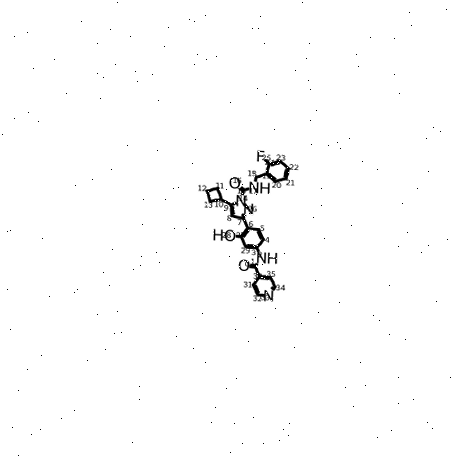 O=C(Nc1ccc(-c2cc(C3CCC3)n(C(=O)NCc3ccccc3F)n2)c(O)c1)c1ccncc1